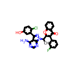 CC(c1oc2ccccc2c(=O)c1-c1cccc(F)c1)n1nc(-c2cc(O)ccc2Cl)c2c(N)ncnc21